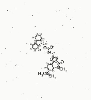 COC(=O)c1nc(CNC(=O)OCC2c3ccccc3-c3ccccc32)oc1-c1ccc(N(C)C)cc1